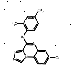 Cc1ccc(Nc2nc3cc(Cl)ccc3n3cn[c]c23)c(C)c1